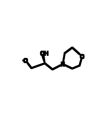 [O]C[C@@H](O)CN1CCOCC1